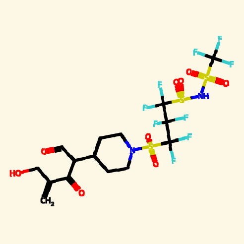 C=C(CO)C(=O)C(C=O)C1CCN(S(=O)(=O)C(F)(F)C(F)(F)C(F)(F)S(=O)(=O)NS(=O)(=O)C(F)(F)F)CC1